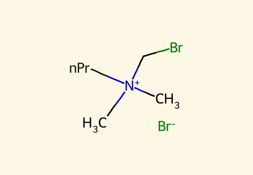 CCC[N+](C)(C)CBr.[Br-]